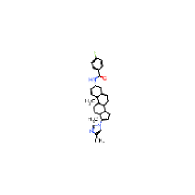 Cc1cn(C2=CCC3C4CC=C5C[C@@H](NC(=O)c6ccc(F)cc6)CC[C@]5(C)C4CC[C@]23C)cn1